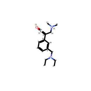 CCN(CC)Cc1cccc(C(=C=O)CN(C)C)c1